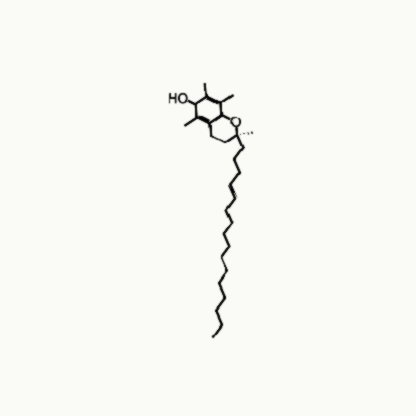 CCCCCCCCCCCCCCCC[C@@]1(C)CCC2=C(C)C(O)C(C)=C(C)C2O1